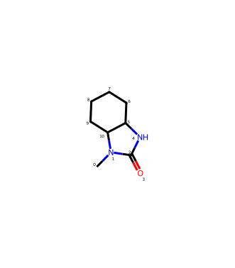 CN1C(=O)NC2CCCCC21